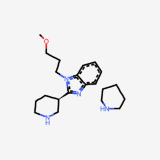 C1CCNCC1.COCCCn1c([C@@H]2CCCNC2)nc2ccccc21